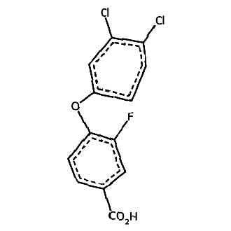 O=C(O)c1ccc(Oc2ccc(Cl)c(Cl)c2)c(F)c1